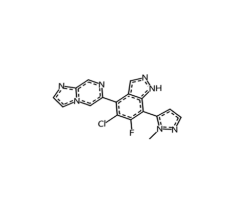 Cn1nccc1-c1c(F)c(Cl)c(-c2cn3ccnc3cn2)c2cn[nH]c12